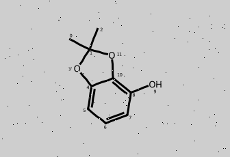 CC1(C)Oc2cccc(O)c2O1